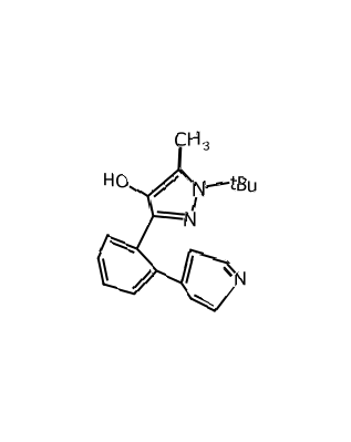 Cc1c(O)c(-c2ccccc2-c2ccncc2)nn1C(C)(C)C